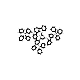 c1ccc([Si](c2ccccc2)(c2ccccc2)c2cccc(-c3cc(-n4c5ccccc5c5cc([Si](c6ccccc6)(c6ccccc6)c6ccccc6)ccc54)nc(-n4c5ccccc5c5ccc6c(c7ccccc7n6-c6cccc([Si](c7ccccc7)(c7ccccc7)c7ccccc7)c6)c54)n3)c2)cc1